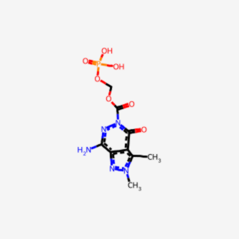 Cc1c2c(=O)n(C(=O)OCOP(=O)(O)O)nc(N)c2nn1C